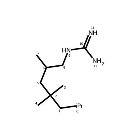 CC(C)CC(C)(C)CC(C)CNC(=N)N